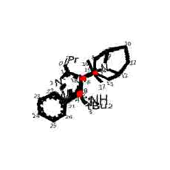 CC(C)c1nnc(C(C)(C)C)n1C1CC2CCC(C1)N2C(C)(C)C[C@H](N)c1ccccc1